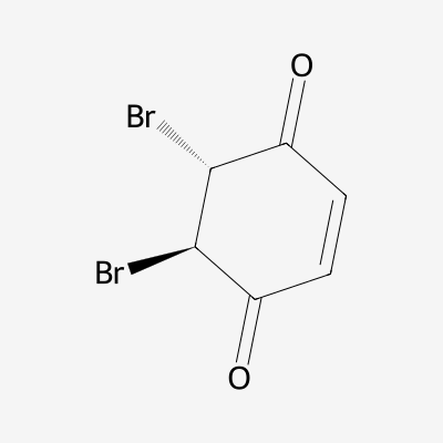 O=C1C=CC(=O)[C@@H](Br)[C@@H]1Br